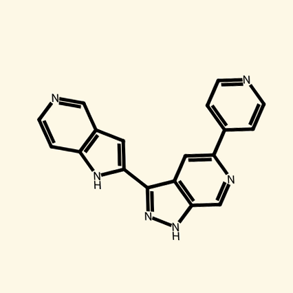 c1cc(-c2cc3c(-c4cc5cnccc5[nH]4)n[nH]c3cn2)ccn1